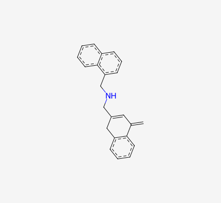 C=C1C=C(CNCc2cccc3ccccc23)Cc2ccccc21